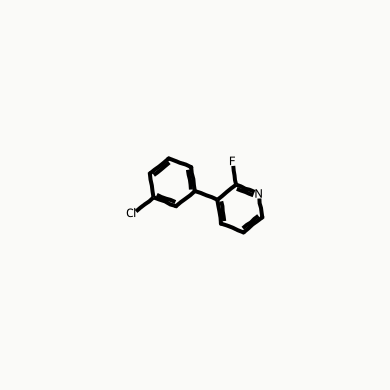 Fc1ncccc1-c1cccc(Cl)c1